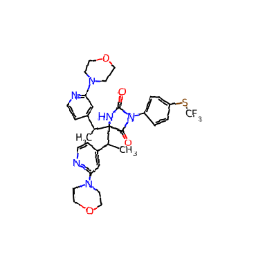 CC(c1ccnc(N2CCOCC2)c1)C1(C(C)c2ccnc(N3CCOCC3)c2)NC(=O)N(c2ccc(SC(F)(F)F)cc2)C1=O